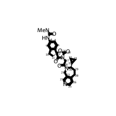 CNC(=O)Nc1ccc2c(c1)CC[C@@]21OC(=O)N(CC(=O)N2Cc3cnccc3CC[C@@H]2C2CC2)C1=O